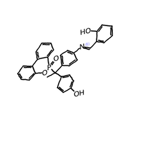 CC(c1ccc(O)cc1)(c1ccc(/N=C/c2ccccc2O)cc1)P1(=O)Oc2ccccc2-c2ccccc21